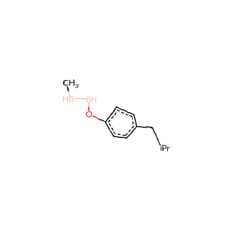 CBBOc1ccc(CC(C)C)cc1